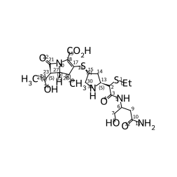 CCSC(C(=O)NC(CO)CC(N)=O)[C@@H]1C[C@H](SC2=C(C(=O)O)N3C(=O)[C@H]([C@@H](C)O)[C@H]3[C@H]2C)CN1